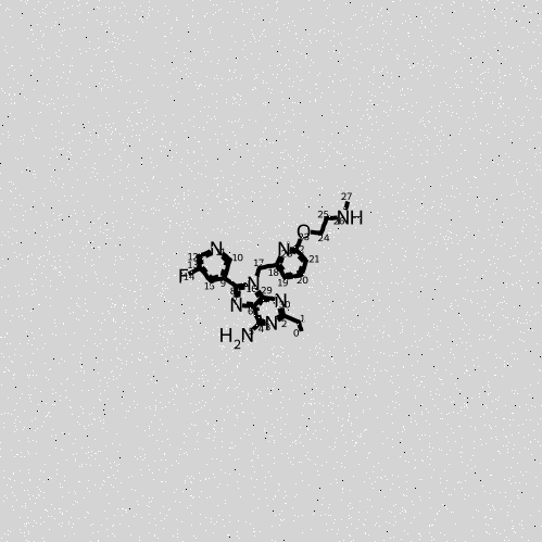 CCc1nc(N)c2nc(-c3cncc(F)c3)n(Cc3cccc(OCCNC)n3)c2n1